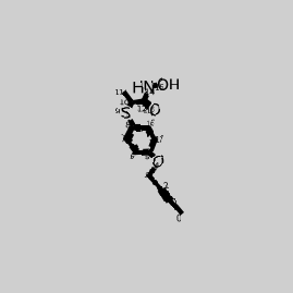 CC#CCOc1ccc(SC(C)C(=O)NO)cc1